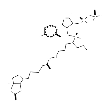 C[C@H]1O[C@@H](n2ccc(N)nc2=O)[C@H](OP(=O)(O)C(CCO)CCCNNC(=O)CCCC[C@@H]2SC[C@@H]3NC(=O)N[C@@H]32)[C@@H]1OP(=O)(O)OP(=O)(O)O